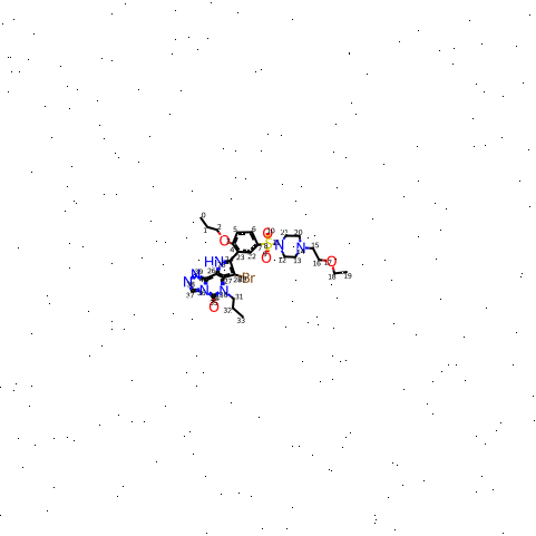 CCCOc1ccc(S(=O)(=O)N2CCN(CCOCC)CC2)cc1-c1[nH]c2c(c1Br)n(CCC)c(=O)n1cnnc21